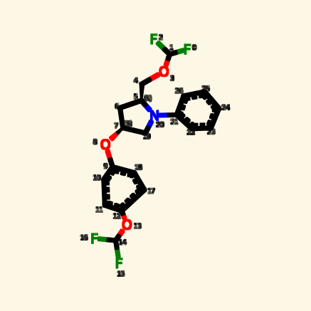 FC(F)OC[C@@H]1C[C@H](Oc2ccc(OC(F)F)cc2)CN1c1ccccc1